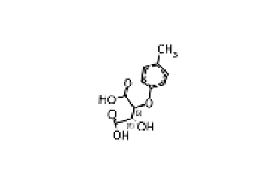 Cc1ccc(O[C@H](C(=O)O)[C@H](O)C(=O)O)cc1